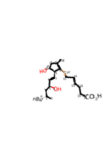 CCCC[C@@H](C)C[C@H](O)/C=C/[C@@H]1C(SCCCCCC(=O)O)=C(C)C[C@H]1O